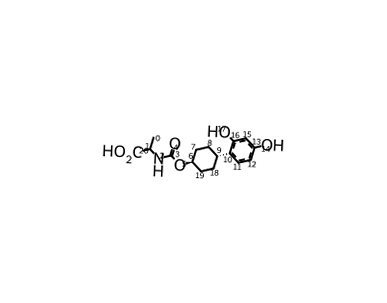 CC(NC(=O)O[C@H]1CC[C@H](c2ccc(O)cc2O)CC1)C(=O)O